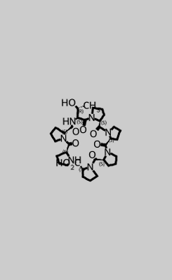 C[C@@H](O)[C@H](NC(=O)[C@@H]1CCCN1C(=O)[C@@H]1CCCN1)C(=O)N1CCC[C@H]1C(=O)N1CCC[C@H]1C(=O)N1CCC[C@H]1C(=O)N1CCC[C@H]1C(=O)O